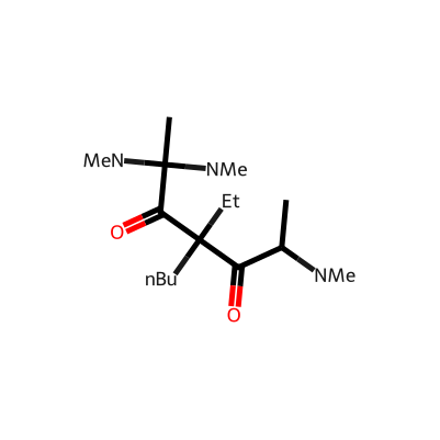 CCCCC(CC)(C(=O)C(C)NC)C(=O)C(C)(NC)NC